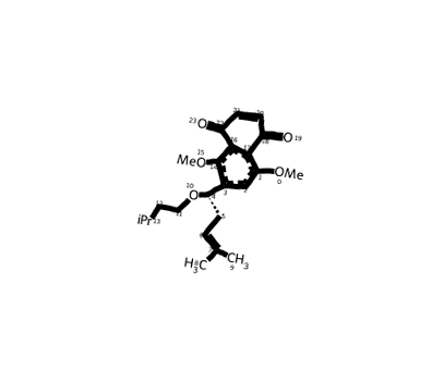 COc1cc([C@H](CC=C(C)C)OCCC(C)C)c(OC)c2c1C(=O)C=CC2=O